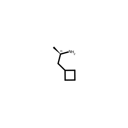 C[C@@H](N)CC1CCC1